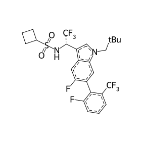 CC(C)(C)Cn1cc([C@H](NS(=O)(=O)C2CCC2)C(F)(F)F)c2cc(F)c(-c3c(F)cccc3C(F)(F)F)cc21